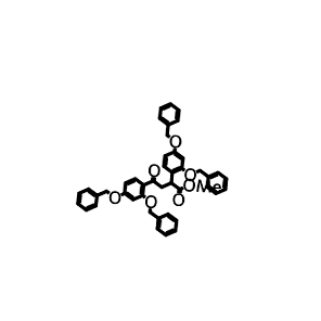 COC(=O)C(CC(=O)c1ccc(OCc2ccccc2)cc1OCc1ccccc1)c1ccc(OCc2ccccc2)cc1OCc1ccccc1